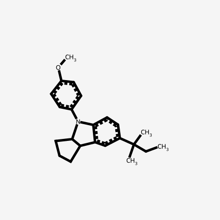 CCC(C)(C)c1ccc2c(c1)C1CCCC1N2c1ccc(OC)cc1